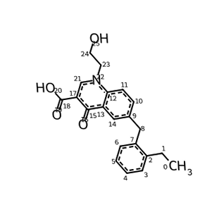 CCc1ccccc1Cc1ccc2c(c1)c(=O)c(C(=O)O)cn2CCO